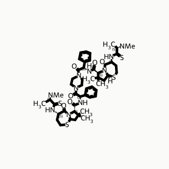 CN[C@@H](C)C(=S)N[C@H]1CCSC2CC(C)(C)[C@@H](C(=O)N[C@H](C(=O)N3CCN(C(=O)[C@@H](NC(=O)[C@H]4N5C(=O)[C@@H](NC(=S)[C@H](C)NC)CCS[C@H]5CC4(C)C)c4ccccc4)CC3)c3ccccc3)N2C1=O